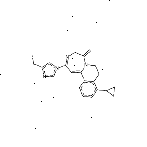 C=C1CN=C(n2cnc(CC)c2)C=C2c3cccc(C4CC4)c3CCN12